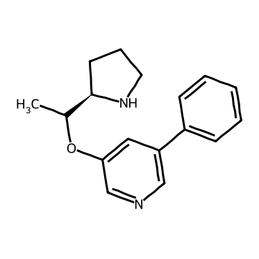 CC(Oc1cncc(-c2ccccc2)c1)[C@H]1CCCN1